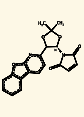 CC1(C)OC(c2ccc3c(n2)oc2ccccc23)[C@@H](N2C(=O)C=CC2=O)O1